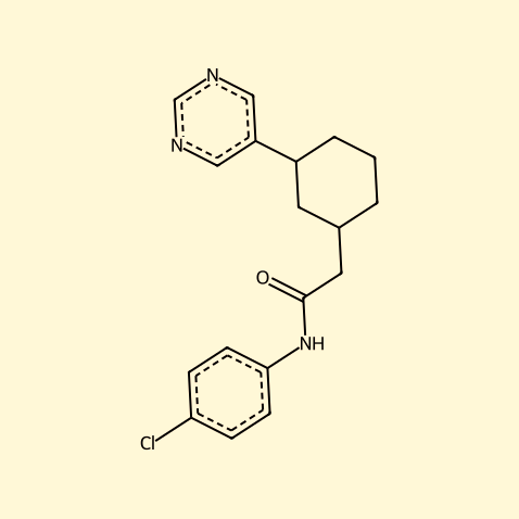 O=C(CC1CCCC(c2cncnc2)C1)Nc1ccc(Cl)cc1